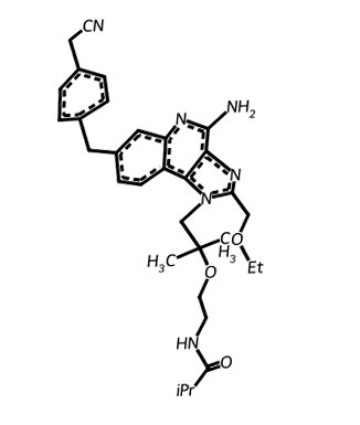 CCOCc1nc2c(N)nc3cc(Cc4ccc(CC#N)cc4)ccc3c2n1CC(C)(C)OCCNC(=O)C(C)C